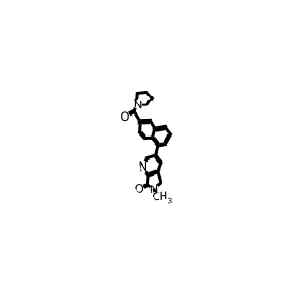 CN1Cc2cc(-c3cccc4cc(C(=O)N5CCCCC5)ccc34)cnc2C1=O